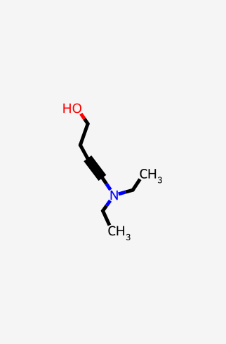 CCN(C#CCCO)CC